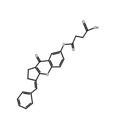 O=C(O)CCC(=O)Oc1ccc2oc3c(c(=O)c2c1)CC/C3=C\c1ccccc1